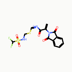 C=C(C(=O)/N=C\SCNS(=O)(=O)C(F)F)N1C(=O)c2ccccc2C1=O